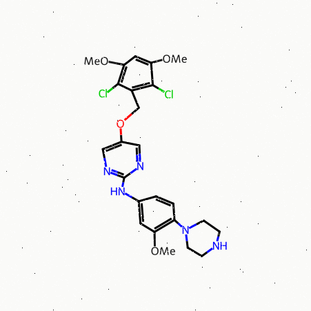 COc1cc(Nc2ncc(OCc3c(Cl)c(OC)cc(OC)c3Cl)cn2)ccc1N1CCNCC1